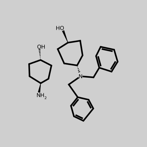 N[C@H]1CC[C@H](O)CC1.O[C@H]1CC[C@H](N(Cc2ccccc2)Cc2ccccc2)CC1